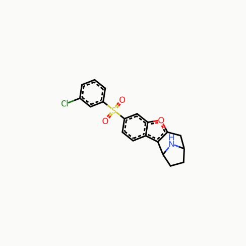 O=S(=O)(c1cccc(Cl)c1)c1ccc2c3c(oc2c1)CC1CCC3N1